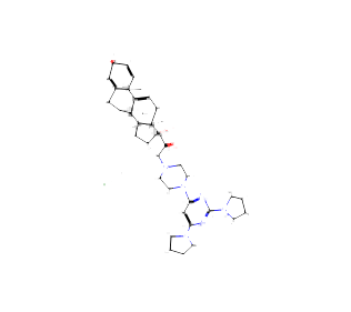 C[C@]12C=CC(=O)C=C1CC[C@@H]1C2=CC[C@@]2(C)[C@H]1CC[C@]2(O)C(=O)CN1CCN(c2cc(N3CCCC3)nc(N3CCCC3)n2)CC1.Cl.Cl